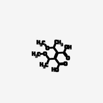 COC(C)/C(C(=O)O)=C(/C(=O)O)C(C)OC